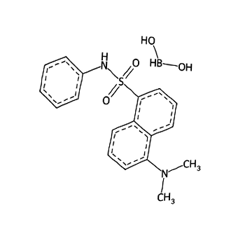 CN(C)c1cccc2c(S(=O)(=O)Nc3ccccc3)cccc12.OBO